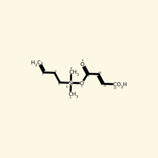 C=CCC[Si](C)(C)OC(=O)C=CC(=O)O